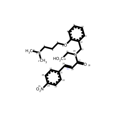 CN(C)CCCOc1ccccc1CN(CC(=O)O)C(=O)/C=C/c1ccc([N+](=O)[O-])cc1